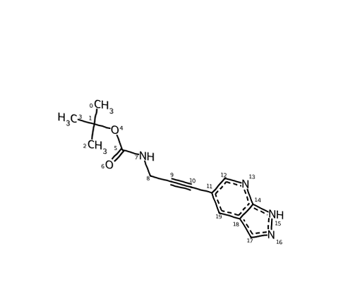 CC(C)(C)OC(=O)NCC#Cc1cnc2[nH]ncc2c1